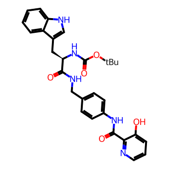 CC(C)(C)OC(=O)N[C@H](Cc1c[nH]c2ccccc12)C(=O)NCc1ccc(NC(=O)c2ncccc2O)cc1